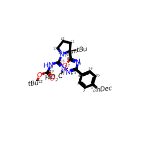 CCCCCCCCCCc1ccc(-c2noc([C@@]3(C(C)(C)C)CCCN3C(=NC(=O)O)NC(=O)OC(C)(C)C)n2)cc1